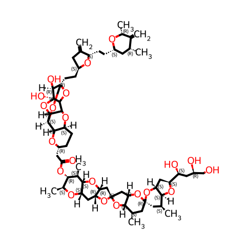 C=C1C[C@H](CC[C@]23OC4C5O[C@H]6CC[C@H](CC(=O)O[C@@H]7[C@@H](C)[C@@H]8O[C@@H]9C[C@]%10(C[C@@H]%11O[C@]%12(C[C@H](C)[C@@H]%13O[C@H]([C@@H](O)C[C@@H](O)CO)C[C@@H]%13O%12)C[C@H](C)[C@@H]%11O%10)O[C@@H]9C[C@@H]8O[C@H]7C)O[C@@H]6[C@H](O2)[C@@H]5O[C@@]4(O)[C@H]3O)O[C@H]1CC[C@H]1C[C@@H](C)C(=C)[C@@H](C)O1